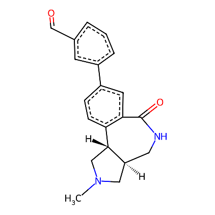 CN1C[C@@H]2CNC(=O)c3cc(-c4cccc(C=O)c4)ccc3[C@H]2C1